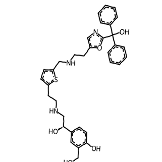 OCc1cc([C@@H](O)CNCCc2ccc(CNCCc3cnc(C(O)(c4ccccc4)c4ccccc4)o3)s2)ccc1O